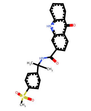 CC(C)(NC(=O)c1ccc2c(=O)c3ccccc3[nH]c2c1)c1ccc(S(C)(=O)=O)cc1